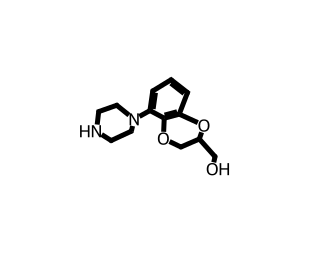 OCC1COc2c(cccc2N2CCNCC2)O1